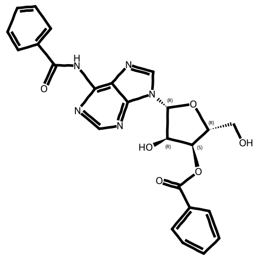 O=C(Nc1ncnc2c1ncn2[C@@H]1O[C@H](CO)[C@@H](OC(=O)c2ccccc2)[C@H]1O)c1ccccc1